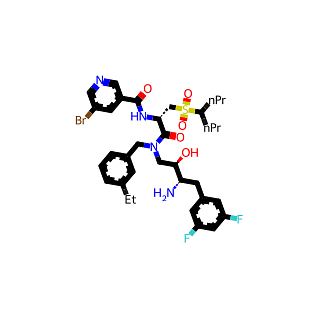 CCCC(CCC)S(=O)(=O)C[C@@H](NC(=O)c1cncc(Br)c1)C(=O)N(Cc1cccc(CC)c1)C[C@@H](O)[C@@H](N)Cc1cc(F)cc(F)c1